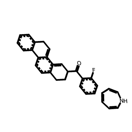 C1=CC=CNC=C1.O=C(c1ccccc1F)C1C=c2c(ccc3c2=CCc2ccccc2-3)CC1